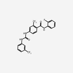 O=C(Nc1cccc(C(F)(F)F)c1)Nc1ccc(C(=O)Nc2ccccc2F)c(C(F)(F)F)c1